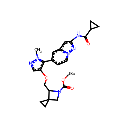 Cn1ncc(OCC2N(C(=O)OC(C)(C)C)CC23CC3)c1-c1ccn2nc(NC(=O)C3CC3)cc2c1